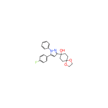 OC1(c2cc(-c3ccc(F)cc3)n(-c3ccccc3)n2)CCC2(CC1)OCCO2